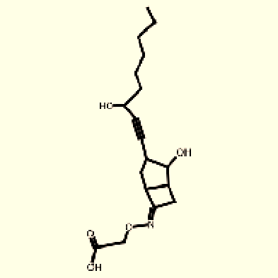 CCCCCCC(O)C#CC1CC2C(=NOCC(=O)O)CC2C1O